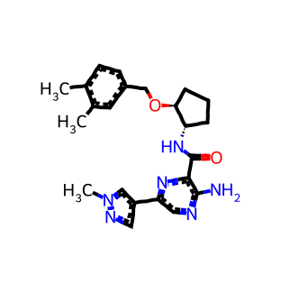 Cc1ccc(CO[C@H]2CCC[C@@H]2NC(=O)c2nc(-c3cnn(C)c3)cnc2N)cc1C